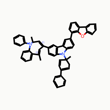 C/C1=C\C(c2ccc3c(c2)c2cc(-c4cccc5c4oc4ccccc45)ccc2n3C2(C)C=CC(c3ccccc3)=CC2)=C/C(C)N(c2ccccc2)c2ccccc21